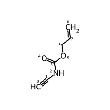 C#CNC(=O)OCC=C